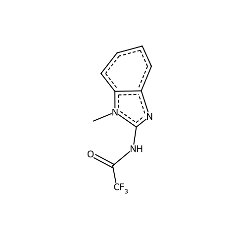 Cn1c(NC(=O)C(F)(F)F)nc2ccccc21